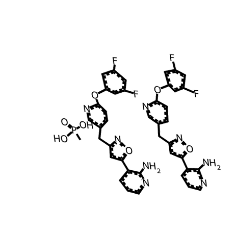 CP(=O)(O)O.Nc1ncccc1-c1cc(Cc2ccc(Oc3cc(F)cc(F)c3)nc2)no1.Nc1ncccc1-c1cc(Cc2ccc(Oc3cc(F)cc(F)c3)nc2)no1